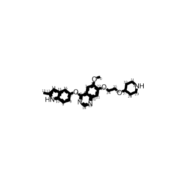 COc1cc2c(Oc3ccc4[nH]c(C)cc4c3)ncnc2cc1OCCOC1CCNCC1